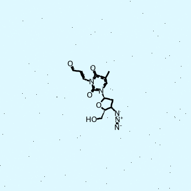 Cc1cn([C@H]2CC(N=[N+]=[N-])[C@@H](CO)O2)c(=O)n(/C=C/C=O)c1=O